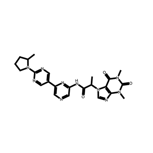 CC1CCCN1c1ncc(-c2cncc(NC(=O)C(C)n3cnc4c3c(=O)n(C)c(=O)n4C)n2)cn1